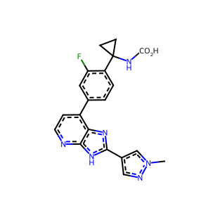 Cn1cc(-c2nc3c(-c4ccc(C5(NC(=O)O)CC5)c(F)c4)ccnc3[nH]2)cn1